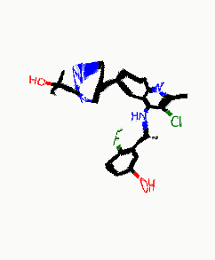 Cc1nc2ccc(-c3cnc(C(C)(C)O)nc3)cc2c(N[C@H](C)c2cc(O)ccc2F)c1Cl